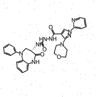 O=C(NNC(=O)c1cn(-c2ccccn2)nc1N1CCOCC1)N[C@H]1CN(c2ccccc2)c2ccccc2NC1=O